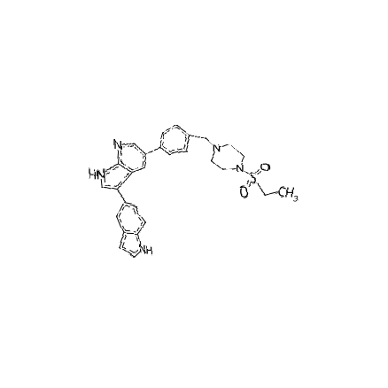 CCS(=O)(=O)N1CCN(Cc2ccc(-c3cnc4[nH]cc(-c5ccc6[nH]ccc6c5)c4c3)cc2)CC1